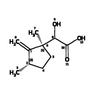 C=C1[C@@H](C)CC[C@]1(C)C(O)C(=O)O